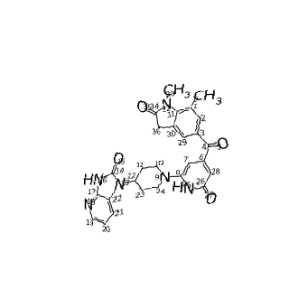 Cc1cc(C(=O)c2cc(N3CCC(n4c(=O)[nH]c5ncccc54)CC3)[nH]c(=O)c2)cc2c1N(C)C(=O)C2